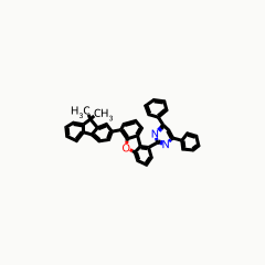 CC1(C)c2ccccc2-c2ccc(-c3cccc4c3oc3cccc(-c5nc(-c6ccccc6)cc(-c6ccccc6)n5)c34)cc21